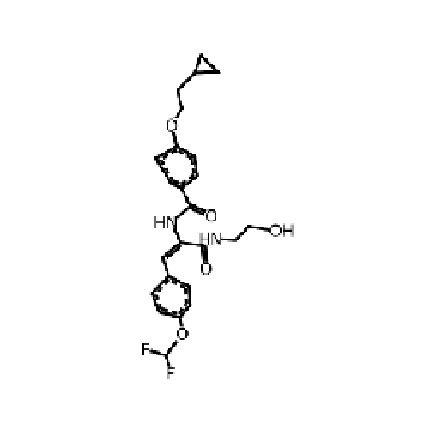 O=C(NCCO)/C(=C\c1ccc(OC(F)F)cc1)NC(=O)c1ccc(OCCC2CC2)cc1